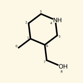 CC1CCNCC1CO